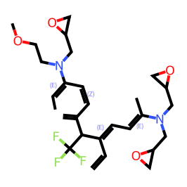 C=C/C(=C\C=C(/C)N(CC1CO1)CC1CO1)C(C(=C)/C=C\C(=C/C)N(CCOC)CC1CO1)C(F)(F)F